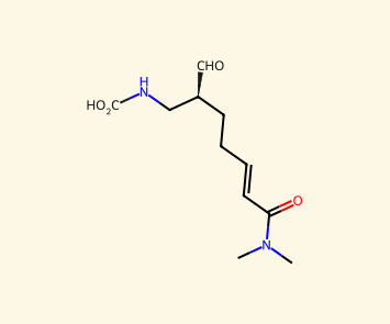 CN(C)C(=O)/C=C/CC[C@H](C=O)CNC(=O)O